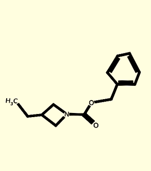 CCC1CN(C(=O)OCc2ccccc2)C1